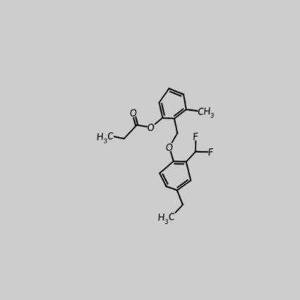 CCC(=O)Oc1cccc(C)c1COc1ccc(CC)cc1C(F)F